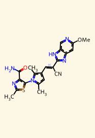 COc1cc2nc(/C(C#N)=C/c3cc(C)n(-c4sc(C)nc4C(N)=O)c3C)[nH]c2cn1